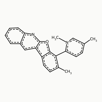 Cc1ccc(-c2c(C)ccc3c2oc2nc4ccccc4cc23)[n+](C)c1